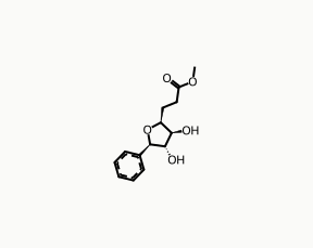 COC(=O)CC[C@@H]1O[C@H](c2ccccc2)[C@@H](O)[C@@H]1O